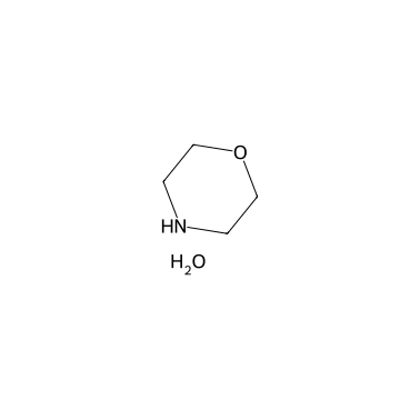 C1COCCN1.O